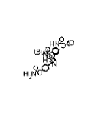 CC(C)(C)NS(=O)(=O)c1cc(NC(=O)OC2COC2)ccc1-c1cnc(C2CCC(OC(N)=O)CC2)s1